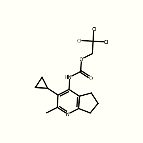 Cc1nc2c(c(NC(=O)OCC(Cl)(Cl)Cl)c1C1CC1)CCC2